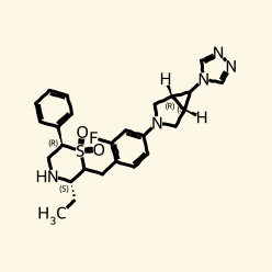 CC[C@@H]1NC[C@@H](c2ccccc2)S(=O)(=O)C1Cc1ccc(N2C[C@@H]3C(n4cnnc4)[C@@H]3C2)cc1F